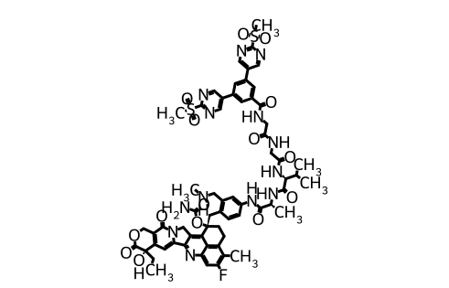 CC[C@@]1(O)C(=O)OCc2c1cc1n(c2=O)Cc2c-1nc1cc(F)c(C)c3c1c2[C@](Cc1ccc(NC(=O)[C@H](C)NC(=O)[C@@H](NC(=O)CNC(=O)CNC(=O)c2cc(-c4cnc(S(C)(=O)=O)nc4)cc(-c4cnc(S(C)(=O)=O)nc4)c2)C(C)C)cc1CNC)(OC(N)=O)CC3